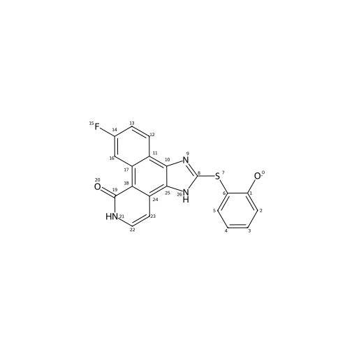 [O]c1ccccc1Sc1nc2c3ccc(F)cc3c3c(=O)[nH]ccc3c2[nH]1